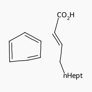 CCCCCCCCC=CC(=O)O.c1ccccc1